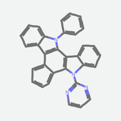 c1ccc(-n2c3ccccc3c3c4ccccc4c4c(c5ccccc5n4-c4ncccn4)c32)cc1